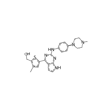 Cc1cc(-c2nc(Nc3ccc(N4CCN(C)CC4)cc3)nc3[nH]ccc23)sc1CO